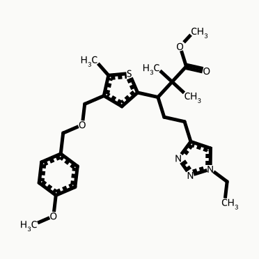 CCn1cc(CCC(c2cc(COCc3ccc(OC)cc3)c(C)s2)C(C)(C)C(=O)OC)nn1